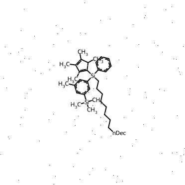 CCCCCCCCCCCCCCCCCC[Si](C1=C(C)C(C)=C(C)C1C)(c1ccccc1)c1cc(C)cc([Si](C)(C)C)c1